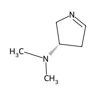 CN(C)[C@H]1CC=NC1